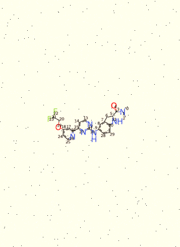 CN(C)C(=O)C1Cc2cc(Nc3nccc(-c4cc(OCC(F)F)ccn4)n3)ccc2N1